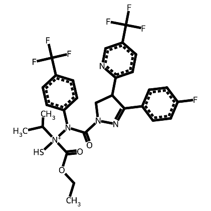 CCOC(=O)[N+](S)(C(C)C)N(C(=O)N1CC(c2ccc(C(F)(F)F)cn2)C(c2ccc(F)cc2)=N1)c1ccc(C(F)(F)F)cc1